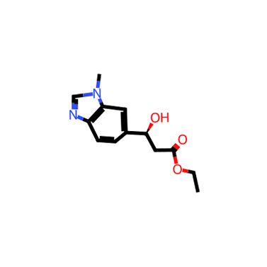 CCOC(=O)C[C@H](O)c1ccc2ncn(C)c2c1